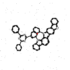 c1ccc(-c2nc(-c3ccccc3)nc(-c3cccc(-n4c5ccccc5c5ccc6c7cc8oc9ccccc9c8cc7n(-c7ccccc7)c6c54)c3)n2)cc1